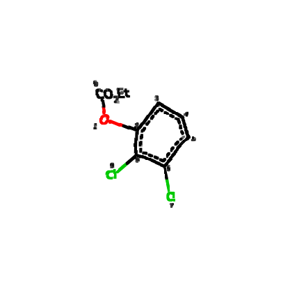 CCOC(=O)Oc1[c]ccc(Cl)c1Cl